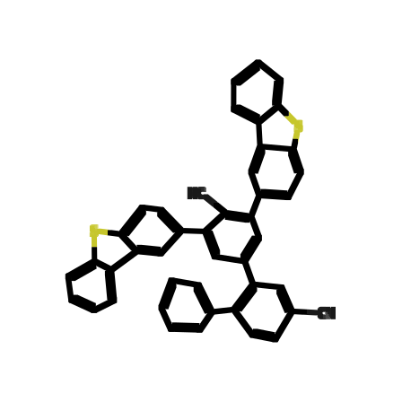 N#Cc1ccc(-c2ccccc2)c(-c2cc(-c3ccc4sc5ccccc5c4c3)c(C#N)c(-c3ccc4sc5ccccc5c4c3)c2)c1